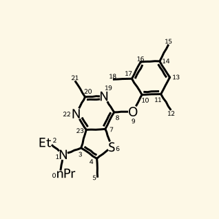 CCCN(CC)c1c(C)sc2c(Oc3c(C)cc(C)cc3C)nc(C)nc12